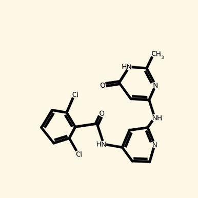 Cc1nc(Nc2cc(NC(=O)c3c(Cl)cccc3Cl)ccn2)cc(=O)[nH]1